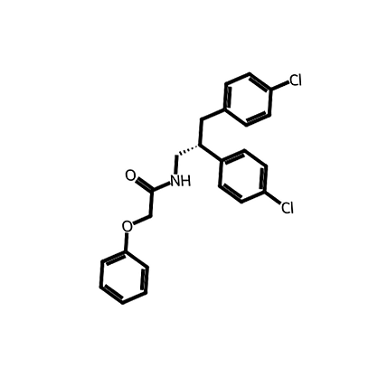 O=C(COc1ccccc1)NC[C@H](Cc1ccc(Cl)cc1)c1ccc(Cl)cc1